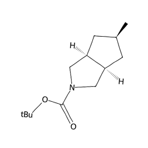 C[C@@H]1C[C@@H]2CN(C(=O)OC(C)(C)C)C[C@@H]2C1